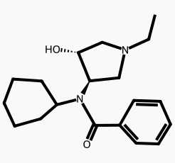 CCN1C[C@@H](O)[C@H](N(C(=O)c2ccccc2)C2CCCCC2)C1